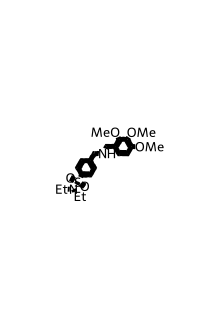 CCN(CC)S(=O)(=O)c1ccc(CNCc2ccc(OC)c(OC)c2OC)cc1